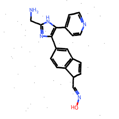 NCc1nc(-c2ccc3c(c2)C=CC3C=NO)c(-c2ccncc2)[nH]1